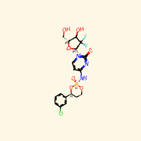 O=c1nc(N[P@]2(=O)OCC[C@@H](c3cccc(Cl)c3)O2)ccn1[C@@H]1O[C@H](CO)C(O)C1(F)F